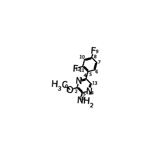 COc1nc(-c2ccc(F)cc2F)cnc1N